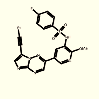 CCC#Cc1cnc2ncc(-c3cnc(OC)c(NS(=O)(=O)c4ccc(F)cc4)c3)nn12